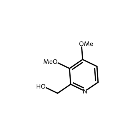 COc1ccnc(CO)c1OC